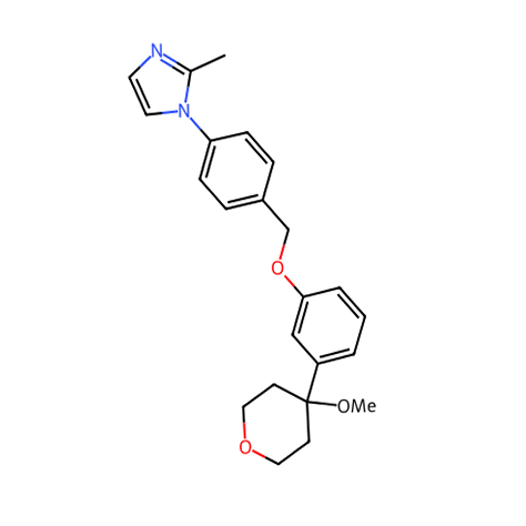 COC1(c2cccc(OCc3ccc(-n4ccnc4C)cc3)c2)CCOCC1